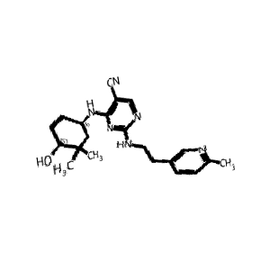 Cc1ccc(CCNc2ncc(C#N)c(N[C@@H]3CC[C@H](O)C(C)(C)C3)n2)cn1